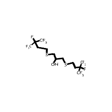 OC(CSCCC(F)(C(F)(F)F)C(F)(F)F)CSCCC(F)(C(F)(F)F)C(F)(F)F